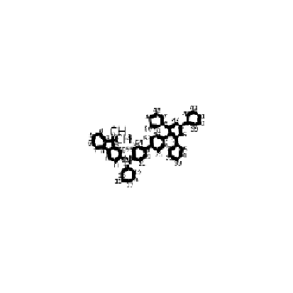 CC1(C)c2ccccc2-c2ccc(N(c3ccccc3)c3ccc(-c4ccc(-c5c(-c6ccccc6)cc(-c6ccccc6)cc5-c5ccccc5)cc4)cc3)cc21